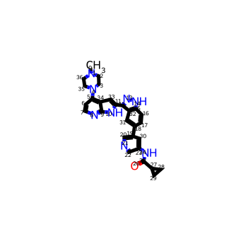 CN1CCN(c2ccnc3[nH]c(-c4n[nH]c5ccc(-c6cncc(NC(=O)C7CC7)c6)cc45)cc23)CC1